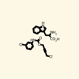 NC(Cc1c[nH]c2ccccc12)C(=O)O.O=C(Nc1cccc(Cl)c1)OCC#CCCl